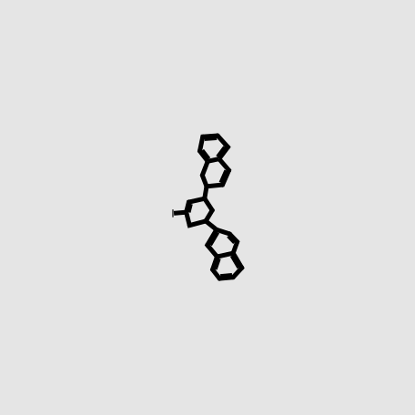 IC1=CC(C2C=Cc3ccccc3C2)CC(c2ccc3ccccc3c2)C1